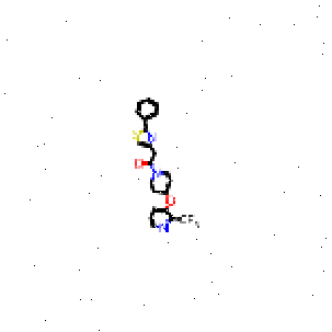 O=C(Cc1csc(-c2ccccc2)n1)N1CCC(Oc2cccnc2C(F)(F)F)CC1